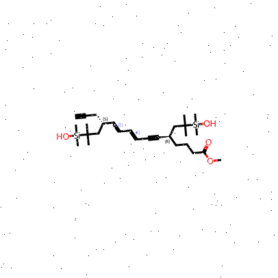 C#CC[C@H](/C=C/C=C/C#C[C@H](CCCC(=O)OC)CC(C)(C)[Si](C)(C)O)CC(C)(C)[Si](C)(C)O